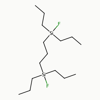 CCC[Si](F)(CCC)CCC[Si](F)(CCC)CCC